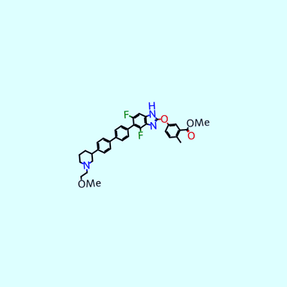 COCCN1CCCC(c2ccc(-c3ccc(-c4c(F)cc5[nH]c(Oc6ccc(C)c(C(=O)OC)c6)nc5c4F)cc3)cc2)C1